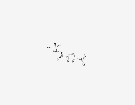 CC(C)(C)NCC(=O)c1ccc([N+](=O)[O-])cc1